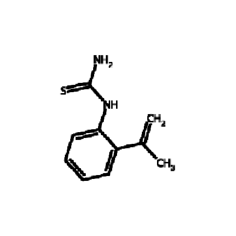 C=C(C)c1ccccc1NC(N)=S